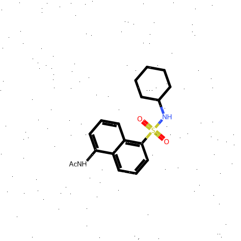 CC(=O)Nc1cccc2c(S(=O)(=O)NC3CCCCC3)cccc12